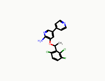 CC(Oc1cc(-c2c[c]ncc2)cnc1N)c1c(Cl)ccc(F)c1Cl